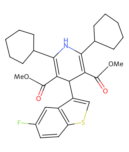 COC(=O)C1=C(C2CCCCC2)NC(C2CCCCC2)=C(C(=O)OC)C1c1csc2ccc(F)cc12